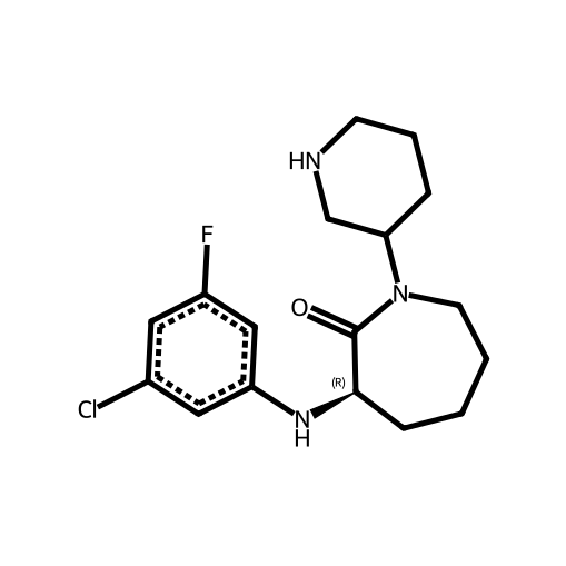 O=C1[C@H](Nc2cc(F)cc(Cl)c2)CCCCN1C1CCCNC1